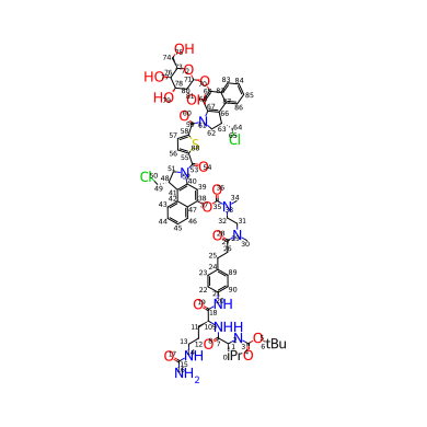 CC(C)[C@H](NC(=O)OC(C)(C)C)C(=O)N[C@@H](CCCNC(N)=O)C(=O)Nc1ccc(CCC(=O)N(C)CCN(C)C(=O)Oc2cc3c(c4ccccc24)[C@H](CCl)CN3C(=O)c2ccc(C(=O)N3C[C@@H](CCl)c4c3cc(O[C@@H]3O[C@H](CO)[C@H](O)[C@H](O)[C@H]3O)c3ccccc43)s2)cc1